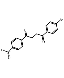 O=C(CCC(=O)c1ccc([N+](=O)[O-])cc1)c1ccc(Br)cc1